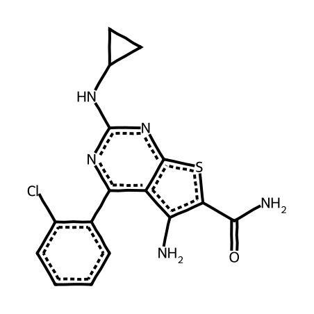 NC(=O)c1sc2nc(NC3CC3)nc(-c3ccccc3Cl)c2c1N